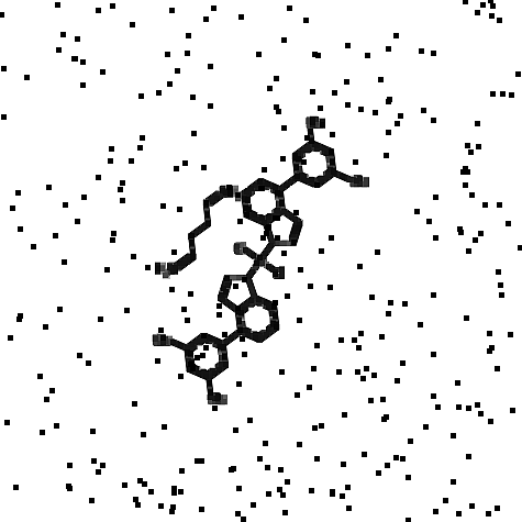 CC(C)(C)c1cc(-c2cccc3c2C=C[CH]3[Zr]([Cl])([Cl])[CH]2C=Cc3c(-c4cc(C(C)(C)C)cc(C(C)(C)C)c4)cccc32)cc(C(C)(C)C)c1.[SiH2]=CCCC=[SiH2]